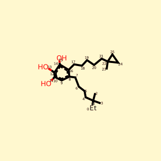 CCC(C)(C)CCCCc1cc(O)c(O)c(O)c1CCCCCC1(C)CC1